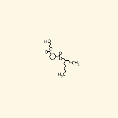 CCCCCC(CCC)COC(=O)C1CCCC(C(=O)OCCO)C1